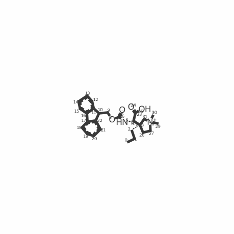 CCC[C@@]1([C@H](NC(=O)OCC2c3ccccc3-c3ccccc32)C(=O)O)CC[N+](C)(C)C1